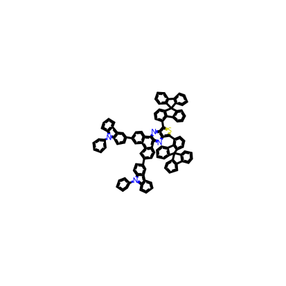 c1ccc(-n2c3ccccc3c3cc(-c4ccc5c(c4)c4cc(-c6ccc7c(c6)c6ccccc6n7-c6ccccc6)ccc4c4nc6c(-c7cccc8c7-c7ccccc7C87c8ccccc8-c8ccccc87)sc(-c7cccc8c7-c7ccccc7C87c8ccccc8-c8ccccc87)c6nc54)ccc32)cc1